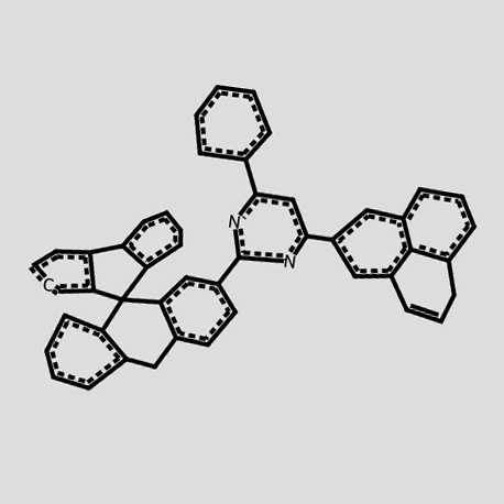 C1=Cc2cc(-c3cc(-c4ccccc4)nc(-c4ccc5c(c4)C4(c6ccccc6C5)c5ccccc5-c5ccccc54)n3)cc3cccc(c23)C1